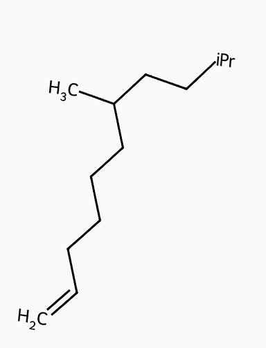 C=CCCCCC(C)CCC(C)C